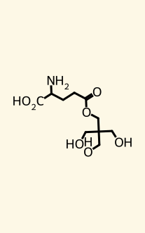 NC(CCC(=O)OCC(CO)(CO)CO)C(=O)O